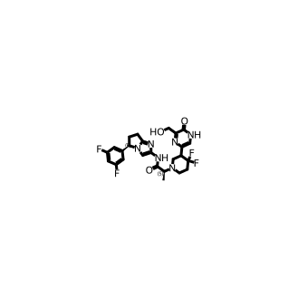 C[C@@H](C(=O)Nc1cn2c(n1)CC[C@@H]2c1cc(F)cc(F)c1)N1CCC(F)(F)C(c2c[nH]c(=O)c(CO)n2)C1